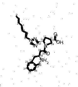 CC=CC=CC=Cn1cnc([C@@H]2CCCN2C(=O)C[C@H](N)Cc2ccccc2F)n1.O=CO